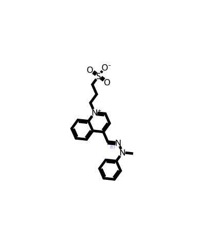 CN(/N=C/c1cc[n+](CCCS(=O)(=O)[O-])c2ccccc12)c1ccccc1